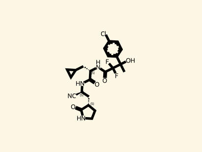 CC(O)(c1ccc(Cl)cc1)C(F)(F)C(=O)N[C@@H](CC1CC1)C(=O)N[C@H](C#N)C[C@@H]1CCNC1=O